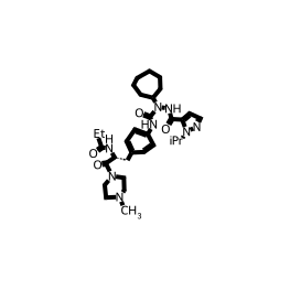 CCC(=O)N[C@H](Cc1ccc(NC(=O)N(NC(=O)c2ccnn2C(C)C)C2CCCCCC2)cc1)C(=O)N1CCN(C)CC1